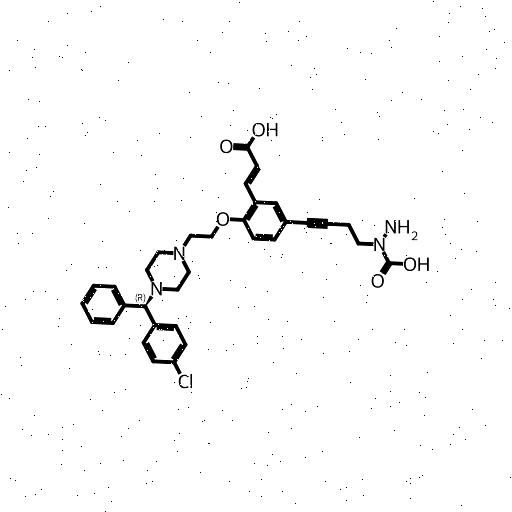 NN(CCC#Cc1ccc(OCCN2CCN([C@H](c3ccccc3)c3ccc(Cl)cc3)CC2)c(C=CC(=O)O)c1)C(=O)O